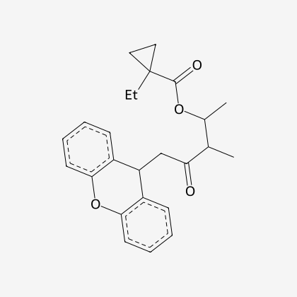 CCC1(C(=O)OC(C)C(C)C(=O)CC2c3ccccc3Oc3ccccc32)CC1